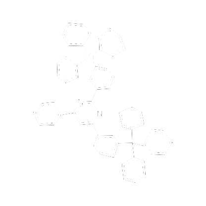 c1ccc(-c2cc(-c3cccc(C(c4ccccc4)(c4ccccc4)c4ccccc4)c3)nc(-c3cccc([Si](c4ccccc4)(c4ccccc4)c4ccccc4)c3)n2)cc1